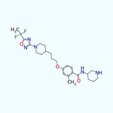 Cc1cc(OCCCC2CCN(c3noc(C(C)(F)F)n3)CC2)ccc1C(=O)NC1CCCNC1